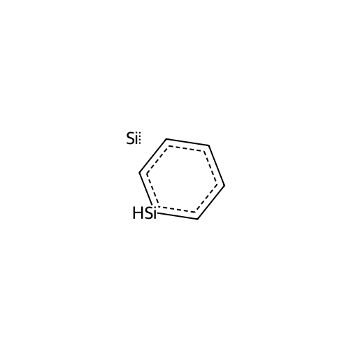 [Si].c1cc[siH]cc1